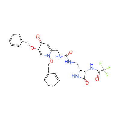 O=C(NCc1cc(=O)c(OCc2ccccc2)cn1OCc1ccccc1)NC[C@H]1NC(=O)[C@H]1NC(=O)C(F)(F)F